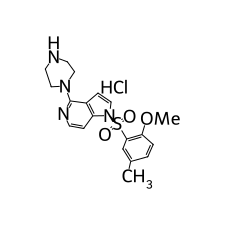 COc1ccc(C)cc1S(=O)(=O)n1ccc2c(N3CCNCC3)nccc21.Cl